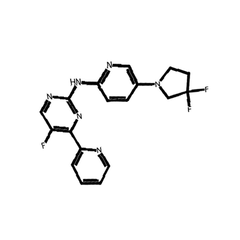 Fc1cnc(Nc2ccc(N3CCC(F)(F)C3)cn2)nc1-c1ccccn1